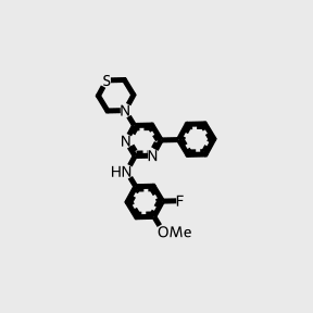 COc1ccc(Nc2nc(-c3ccccc3)cc(N3CCSCC3)n2)cc1F